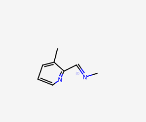 C/N=C/c1ncccc1C